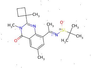 C/C(=N\[S@+]([O-])C(C)(C)C)c1cc(C)cc2c(=O)n(C)c(C3(C)CCC3)nc12